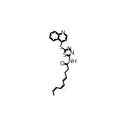 C\C=C/C=C\C=C\CCC(=O)Nc1nnc(Sc2ccnc3ccccc23)s1